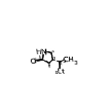 CCC(C)[C@@H]1CNC(=O)C1